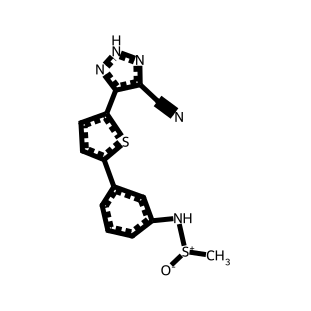 C[S+]([O-])Nc1cccc(-c2ccc(-c3n[nH]nc3C#N)s2)c1